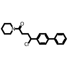 O=C(CCC(Cl)c1ccc(-c2ccccc2)cc1)N1CCCCC1